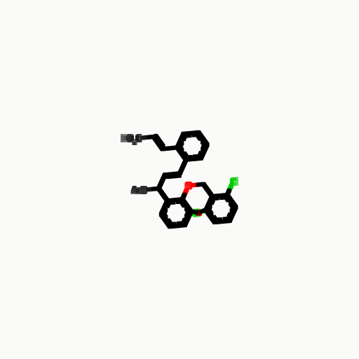 CC(=O)OC(C=Cc1ccccc1C=CC(=O)O)c1cccc(C)c1OCc1c(Cl)cccc1Cl